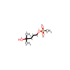 CC(C)(O)CCCOS(C)(=O)=O